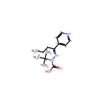 CCCC(=NN(C(=O)O)C(C)(C)C)c1ccncc1